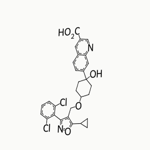 O=C(O)c1cnc2cc(C3(O)CCC(OCc4c(-c5c(Cl)cccc5Cl)noc4C4CC4)CC3)ccc2c1